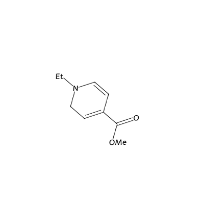 CCN1C=CC(C(=O)OC)=CC1